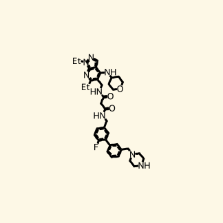 CCc1nc2c(cnn2CC)c(NC2CCOCC2)c1CNC(=O)CC(=O)NCc1ccc(F)c(-c2cccc(CN3CCNCC3)c2)c1